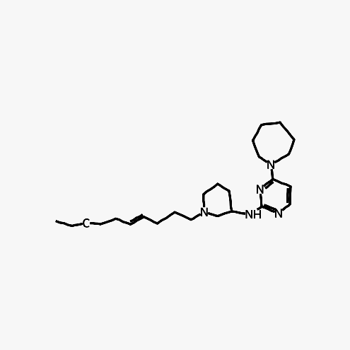 CCCCCC=CCCCN1CCCC(Nc2nccc(N3CCCCCC3)n2)C1